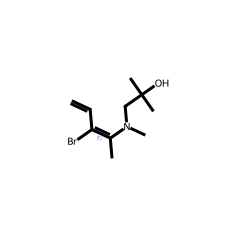 C=C/C(Br)=C(/C)N(C)CC(C)(C)O